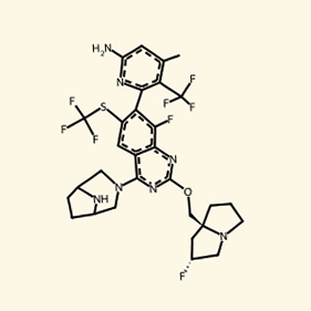 Cc1cc(N)nc(-c2c(SC(F)(F)F)cc3c(N4CC5CCC(C4)N5)nc(OC[C@@]45CCCN4C[C@H](F)C5)nc3c2F)c1C(F)(F)F